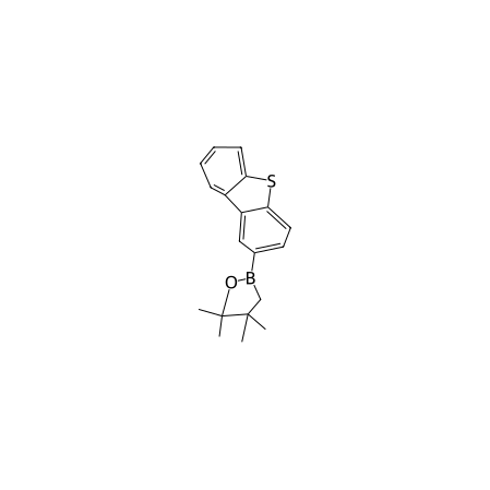 CC1(C)CB(c2ccc3sc4ccccc4c3c2)OC1(C)C